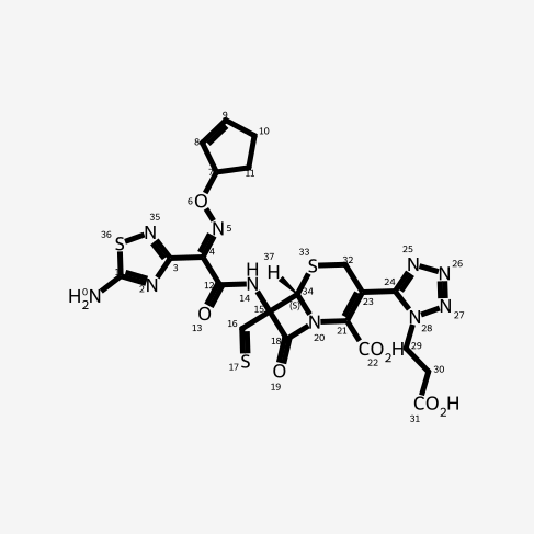 Nc1nc(C(=NOC2C=CCC2)C(=O)NC2(C=S)C(=O)N3C(C(=O)O)=C(c4nnnn4CCC(=O)O)CS[C@H]32)ns1